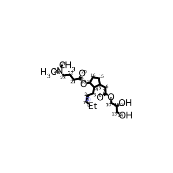 CC/C=C\CC1C(CC(=O)OCC(O)CO)CCC1OC(=O)CCCN(C)C